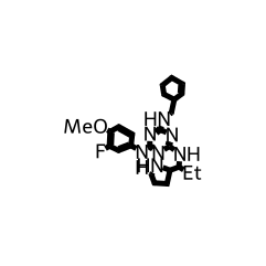 CCC(Nc1nc(NCC2C=CCCC2)nc(Nc2ccc(OC)c(F)c2)n1)C1CCCN1